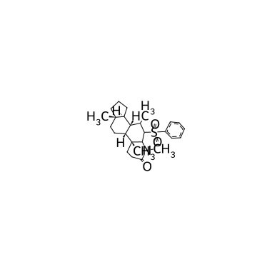 CC1C(S(=O)(=O)c2ccccc2)C2N(C)C(=O)CC[C@]2(C)[C@@H]2CC[C@]3(C)CCC[C@H]3[C@H]12